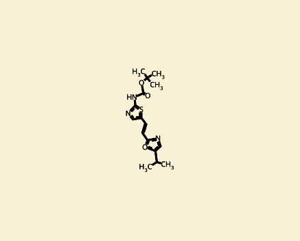 CC(C)c1cnc(C=Cc2cnc(NC(=O)OC(C)(C)C)s2)o1